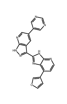 c1ncc(-c2cnc3[nH]nc(-c4nc5c(-c6ccoc6)ccnc5[nH]4)c3c2)cn1